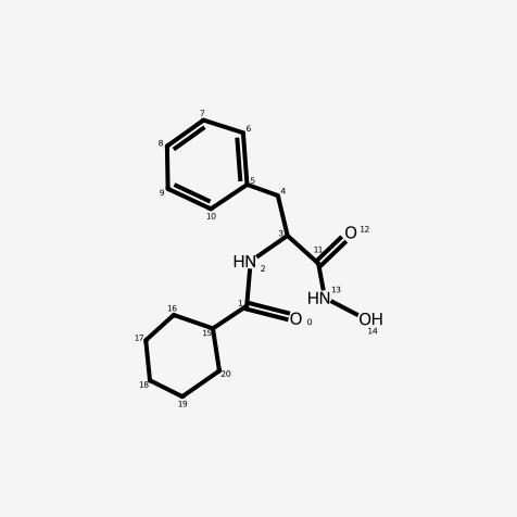 O=C(NC(Cc1ccccc1)C(=O)NO)C1CCCCC1